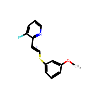 COc1cccc(S/C=C/c2ncccc2F)c1